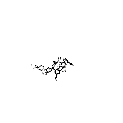 CN1CCN([C@@H]2CN(C(=O)c3cc(C#N)cc(Nc4nc(NC5CC5)c5ncc(C#N)n5n4)c3Cl)C[C@H]2O)CC1